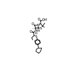 CCC(Sc1ccc(C2CCCCC2)cc1)C(=O)N[C@@]1(C)C(=O)N2[C@@H](C(=O)O)C(C)(C)S[C@@H]21